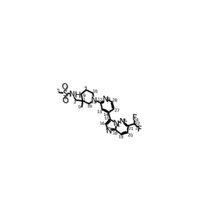 CC1(CNS(C)(=O)=O)CCCN(c2cc(-c3cnc4ccc(C(F)F)nn34)ccn2)C1